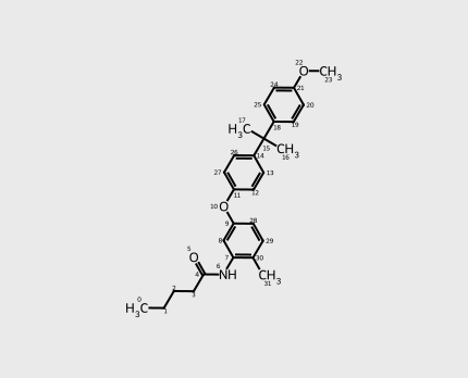 CCCCC(=O)Nc1cc(Oc2ccc(C(C)(C)c3ccc(OC)cc3)cc2)ccc1C